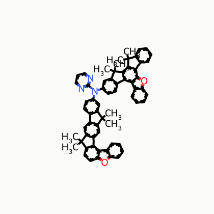 CC1(C)c2cc(N(c3ccc4c(c3)C(C)(C)c3c5c(c6oc7ccccc7c6c3-4)-c3ccccc3C5(C)C)c3ncccn3)ccc2-c2cc3c(cc21)-c1c(ccc2oc4ccccc4c12)C3(C)C